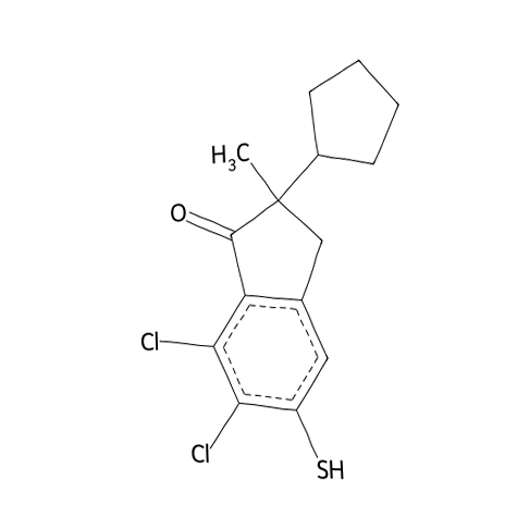 CC1(C2CCCC2)Cc2cc(S)c(Cl)c(Cl)c2C1=O